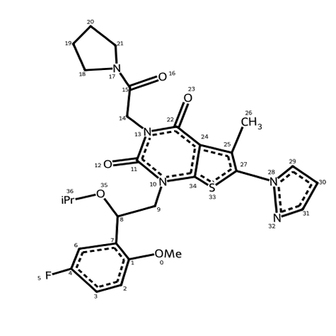 COc1ccc(F)cc1C(Cn1c(=O)n(CC(=O)N2CCCC2)c(=O)c2c(C)c(-n3cccn3)sc21)OC(C)C